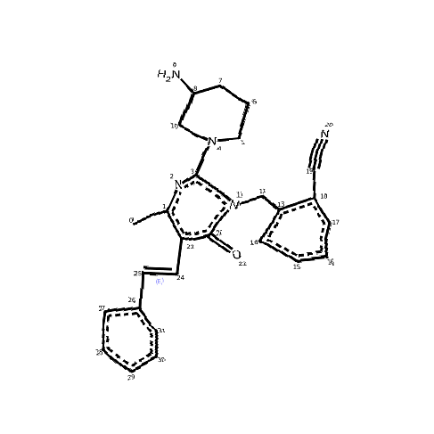 Cc1nc(N2CCCC(N)C2)n(Cc2ccccc2C#N)c(=O)c1/C=C/c1ccccc1